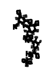 Cc1cc(C(=O)NCCS(C)(=O)=O)cc(-c2nnc(Cc3ccc(Cl)c(Oc4cc(Cl)cc(C#N)c4)c3F)o2)c1C